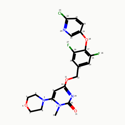 Cn1c(N2CCOCC2)cc(OCc2cc(F)c(Oc3ccc(Cl)nc3)c(F)c2)nc1=O